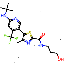 Cc1nc(C(=O)NCCCO)sc1-c1cnc(NC(C)(C)C)cc1C(F)(F)F